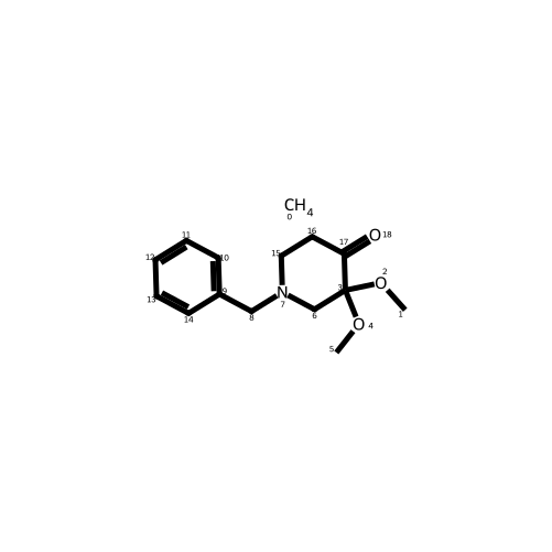 C.COC1(OC)CN(Cc2ccccc2)CCC1=O